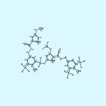 CN(C)Cc1cc(CC(C)(C)c2cc(CCC(=O)c3cc(CO)c[nH]3)cc(C(C)(C)C)c2O)[nH]c1C(=O)CCc1cc(C(C)(C)C)c(O)c(C(C)(C)C)c1